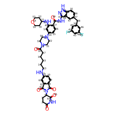 O=C1CCC(N2C(=O)c3ccc(NCCCCCC(=O)N4CCN(c5ccc(C(=O)Nc6n[nH]c7ccc(Cc8cc(F)cc(F)c8)cc67)c(NC6CCOCC6)c5)CC4)cc3C2=O)C(=O)N1